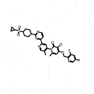 Cc1cnc(-c2ccnc(C3CCC(S(=O)(=O)C4CC4)CC3)n2)cc1-n1c(C)cc(OCc2ncc(F)cc2F)c(Cl)c1=O